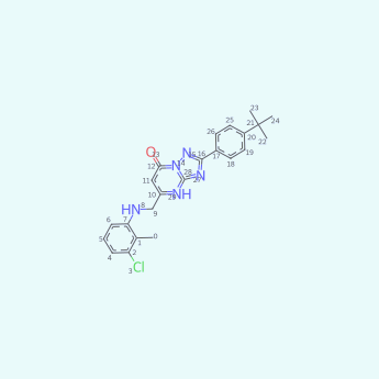 Cc1c(Cl)cccc1NCc1cc(=O)n2nc(-c3ccc(C(C)(C)C)cc3)nc2[nH]1